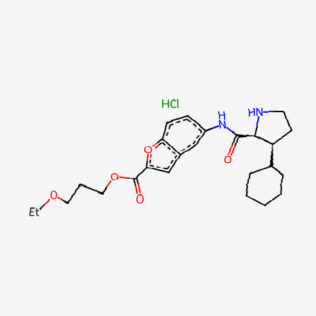 CCOCCCOC(=O)c1cc2cc(NC(=O)[C@H]3NCC[C@H]3C3CCCCC3)ccc2o1.Cl